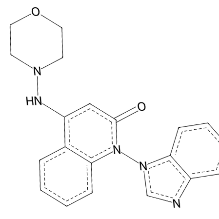 O=c1cc(NN2CCOCC2)c2ccccc2n1-n1cnc2ccccc21